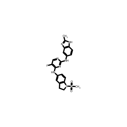 Cc1nc2cc(Nc3ncc(F)c(Nc4ccc5c(c4)CCN5S(C)(=O)=O)n3)ccc2[nH]1